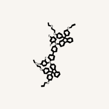 C=CCOc1ccc(C2(c3ccc(OCCOCC)cc3)c3ccccc3-c3ccc(N(c4ccc(-c5ccc(N(c6ccc7c(c6)C(c6ccc(OCC=C)cc6)(c6ccc(OCCOCC)cc6)c6ccccc6-7)c6ccc(F)cc6F)cc5)cc4)c4ccc(F)cc4F)cc32)cc1